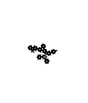 Cc1ccc(-c2ccc3c(c2)c2cc4c5ccccc5c5cc(-c6ccc7c(c6)C(C)(C)c6ccccc6-7)ccc5c4cc2n3-c2cc(-c3ccccc3)nc(-c3ccccc3)n2)cc1